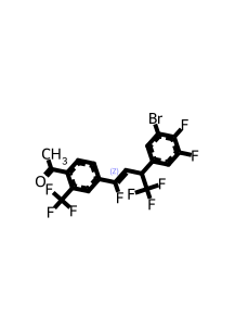 CC(=O)c1ccc(/C(F)=C/C(c2cc(F)c(F)c(Br)c2)C(F)(F)F)cc1C(F)(F)F